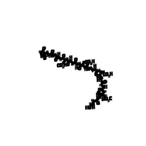 O=C(O)CN(CC(=O)NCCNC(=O)CN(CC(=O)O)C(=O)CNC(=O)CNC(=O)CN(CC(=O)O)C(=O)CNC(=O)CNC(=O)CCN1C(=O)C=CC1=O)C(=O)CNC(=O)CNC(=O)CN(CC(=O)O)C(=O)CNC(=O)CNCO